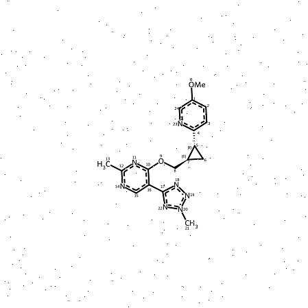 COc1ccc([C@@H]2C[C@H]2COc2nc(C)ncc2-c2nnn(C)n2)nc1